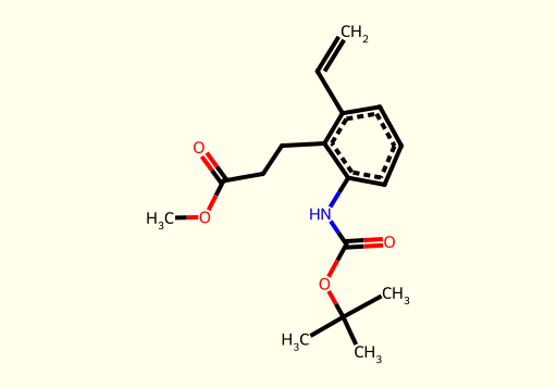 C=Cc1cccc(NC(=O)OC(C)(C)C)c1CCC(=O)OC